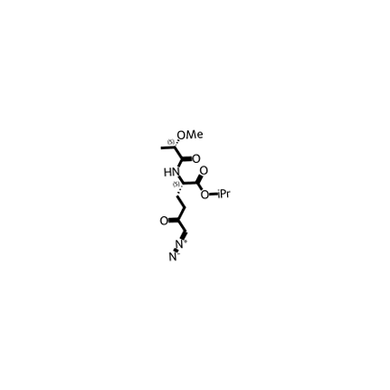 CO[C@@H](C)C(=O)N[C@@H](CCC(=O)C=[N+]=[N-])C(=O)OC(C)C